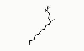 CCCCCCCCC[C@@H](C)CCN=O